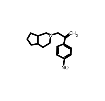 C=C(CN1CCC2CCCC2C1)c1ccc(N=O)cc1